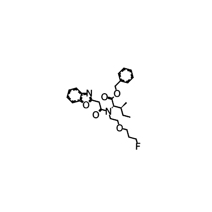 CC[C@H](C)[C@@H](C(=O)OCc1ccccc1)N(CCOCCCF)C(=O)Cc1nc2ccccc2o1